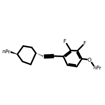 CCCOc1ccc(C#C[C@H]2CC[C@H](CCC)CC2)c(F)c1F